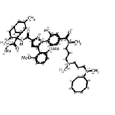 COc1cccc(OC)c1-c1cc(C(=O)NC2(C(=O)OC(C)(C)C)C(C)CC3CC(C)CC2C3)nn1-c1ccc(C(=O)N(C)CCCN(C)CCCN(C)C2CCCCCCC2)cc1C(C)C